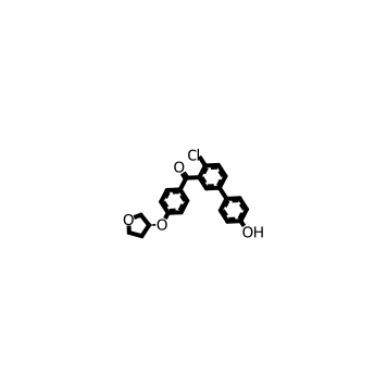 O=C(c1ccc(O[C@@H]2CCOC2)cc1)c1cc(-c2ccc(O)cc2)ccc1Cl